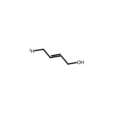 [2H]CC=CCO